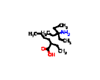 CCC(N)(CC)CC.CCCCC(CC)C(=O)O